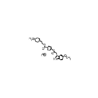 COc1ccc2[nH]cc(CC(=O)Oc3ccc(C(=O)OCCN4CCN(C)CC4)cc3)c2c1.Cl.Cl